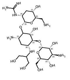 N=C(N)N[C@@H]1C[C@H](O)[C@@H](CN)O[C@@H]1OC1[C@@H](N)C[C@@H](NC(CO)CO)[C@H](O[C@H]2O[C@H](CO)[C@@H](O)[C@H](N)[C@H]2O)[C@H]1O